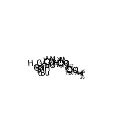 CC(N[S+]([O-])C(C)(C)C)c1ccc2nc(-c3ccc(Oc4cccc(OCC5CC5)c4)nc3)oc2c1